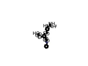 CS(=O)(=O)O.N=C(N)Nc1ccc(C(=O)Oc2cc(Cl)cc(OS(=O)(=O)/C=C/c3ccccc3)c2)cc1